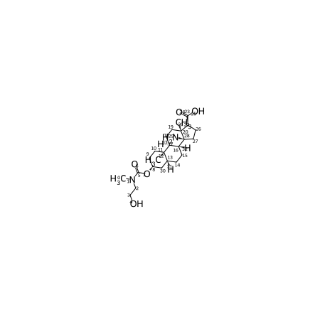 CN(CCO)C(=O)O[C@H]1CC[C@@]2(C)[C@H](CC[C@@H]3[C@@H]2CC[C@]2(C)[C@@H](C(=O)O)CC[C@]32N)C1